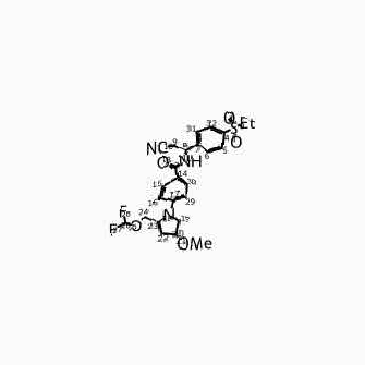 CCS(=O)(=O)c1ccc([C@H](CC#N)NC(=O)c2ccc(N3C[C@@H](OC)C[C@H]3COC(F)F)cc2)cc1